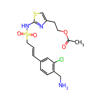 CC(=O)OCCc1csc(NS(=O)(=O)CC=Cc2ccc(CN)c(Cl)c2)n1